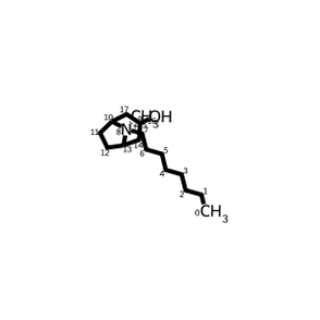 CCCCCCCC[N+]1(C)C2CCC1CC(O)C2